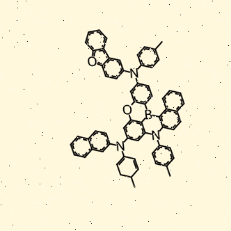 Cc1ccc(N(c2ccc3c(c2)Oc2cc(N(C4=CCC(C)C=C4)c4ccc5ccccc5c4)cc4c2B3c2c(ccc3ccccc23)N4c2ccc(C)cc2)c2ccc3oc4ccccc4c3c2)cc1